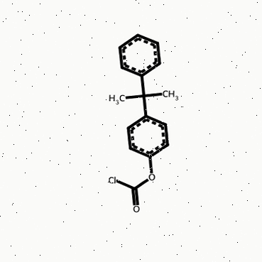 CC(C)(c1ccccc1)c1ccc(OC(=O)Cl)cc1